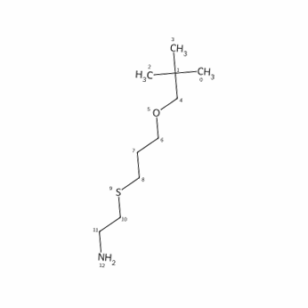 CC(C)(C)COCCCSCCN